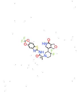 C[C@@H](C(=O)Nc1nc2cc3c(cc2s1)OC(F)(F)O3)N1CCC(F)(F)C(c2c[nH]c(=O)c3c2COC3)C1